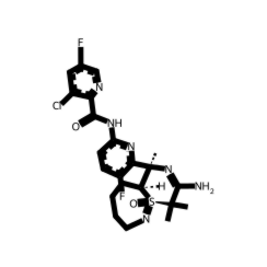 CC1(C)C(N)=N[C@](C)(c2nc(NC(=O)c3ncc(F)cc3Cl)ccc2F)[C@@H]2CCCCN=[S@]21=O